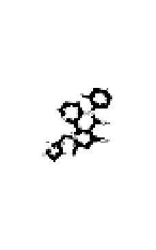 Cc1ccccc1NC(=O)c1c(-c2ccccn2)n(Cc2ccco2)c(C)cc1=O